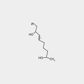 CC(C)CC(O)/C=C/CCCC(C)O